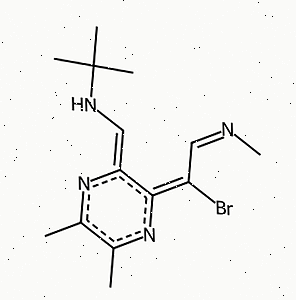 C\N=C/C(Br)=c1/nc(C)c(C)n/c1=C\NC(C)(C)C